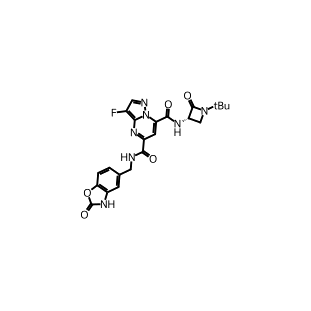 CC(C)(C)N1C[C@H](NC(=O)c2cc(C(=O)NCc3ccc4oc(=O)[nH]c4c3)nc3c(F)cnn23)C1=O